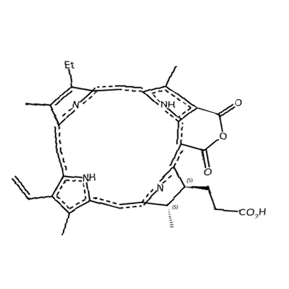 C=Cc1c(C)c2cc3nc(c4c5[nH]c(cc6nc(cc1[nH]2)C(C)=C6CC)c(C)c5C(=O)OC4=O)[C@@H](CCC(=O)O)[C@@H]3C